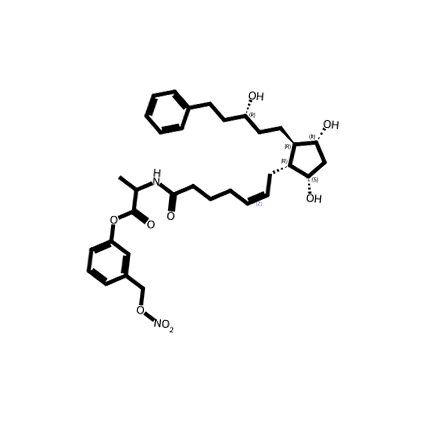 CC(NC(=O)CCC/C=C\C[C@@H]1[C@@H](CC[C@@H](O)CCc2ccccc2)[C@H](O)C[C@@H]1O)C(=O)Oc1cccc(CO[N+](=O)[O-])c1